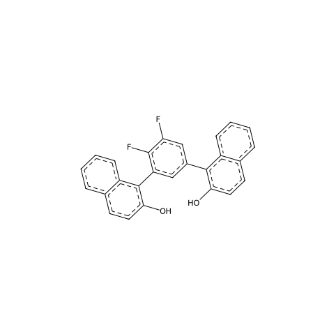 Oc1ccc2ccccc2c1-c1cc(F)c(F)c(-c2c(O)ccc3ccccc23)c1